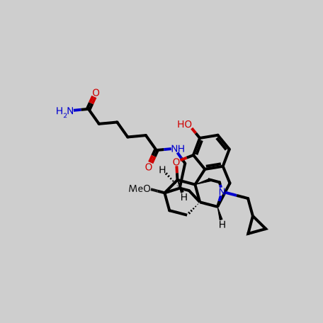 COC12CC[C@@]3(C[C@@H]1CNC(=O)CCCCC(N)=O)[C@H]1Cc4ccc(O)c5c4[C@@]3(CCN1CC1CC1)[C@H]2O5